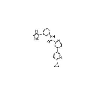 O=C(Nc1cccc(-c2nnc[nH]2)c1)c1cc(-c2ccc(C3CC3)nc2)ccn1